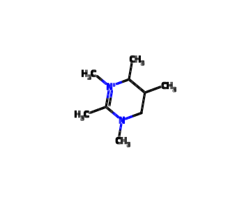 CC1=[N+](C)C(C)C(C)CN1C